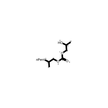 CCCCCC(C)COC(=O)OCC(C)O